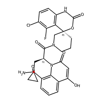 NC(=O)c1cccc2c(O)cc(=O)n([C@@H](CC3CC3)C(=O)N3CCC[C@@]4(C3)OC(=O)Nc3ccc(Cl)c(F)c34)c12